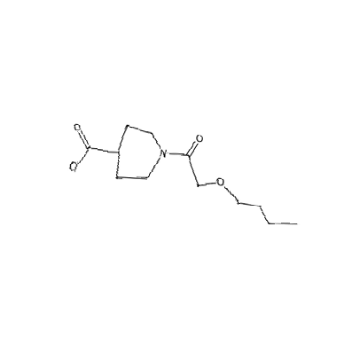 CCCCOCC(=O)N1CCC(C(=O)Cl)CC1